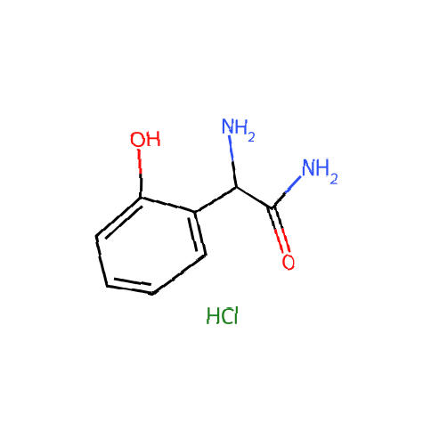 Cl.NC(=O)C(N)c1ccccc1O